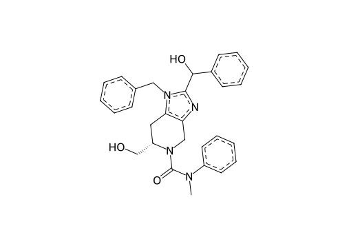 CN(C(=O)N1Cc2nc(C(O)c3ccccc3)n(Cc3ccccc3)c2C[C@H]1CO)c1ccccc1